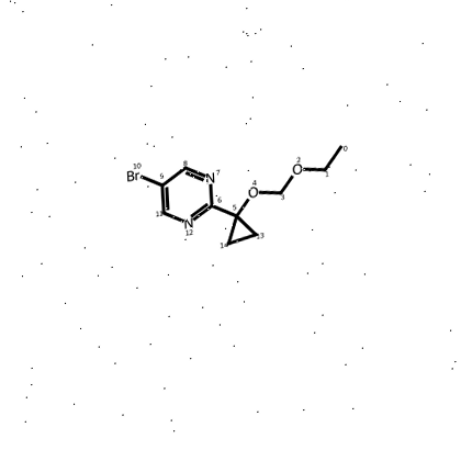 CCOCOC1(c2ncc(Br)cn2)CC1